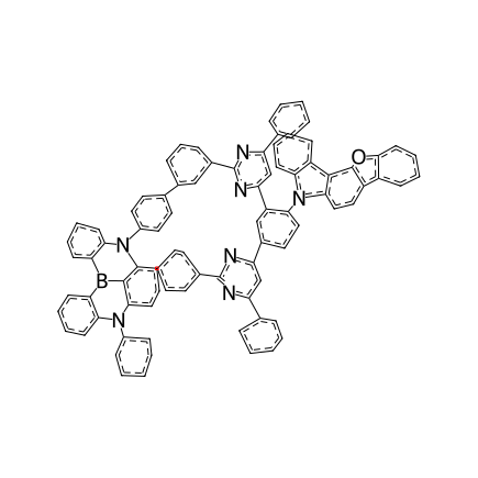 c1ccc(-c2cc(-c3ccc(-n4c5ccccc5c5c6oc7ccccc7c6ccc54)c(-c4cc(-c5ccccc5)nc(-c5cccc(-c6ccc(N7c8ccccc8B8c9ccccc9N(c9ccccc9)c9cccc7c98)cc6)c5)n4)c3)nc(-c3ccccc3)n2)cc1